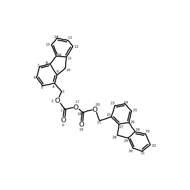 O=C(OCc1cccc2c1Cc1ccccc1-2)OC(=O)OCc1cccc2c1Cc1ccccc1-2